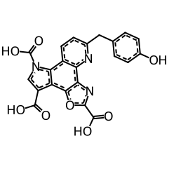 O=C(O)c1nc2c3nc(Cc4ccc(O)cc4)ccc3c3c(c(C(=O)O)cn3C(=O)O)c2o1